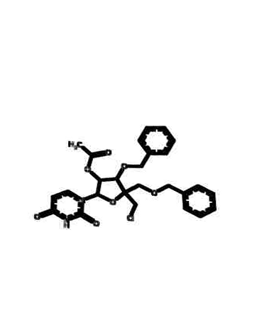 CC(=O)OC1C(n2ccc(=O)[nH]c2=O)OC(CCl)(COCc2ccccc2)C1OCc1ccccc1